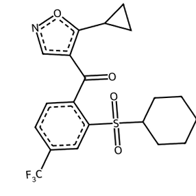 O=C(c1ccc(C(F)(F)F)cc1S(=O)(=O)C1CCCCC1)c1cnoc1C1CC1